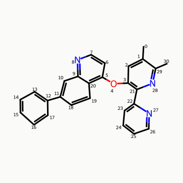 Cc1cc(Oc2ccnc3cc(-c4ccccc4)ccc23)c(-c2ccccn2)nc1C